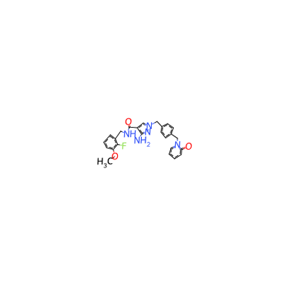 COc1cccc(CNC(=O)c2cn(Cc3ccc(Cn4ccccc4=O)cc3)nc2N)c1F